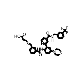 O=C(O)CCSCc1cccc(C(=O)Nc2ccc(N3CCSCC3)cc2-c2cc(C(=O)NCc3cccc(C(F)(F)F)c3)ccn2)c1